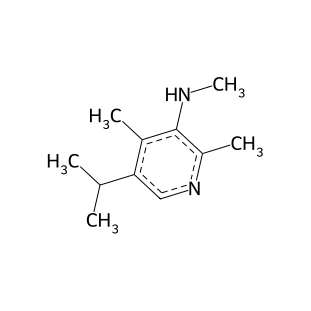 CNc1c(C)ncc(C(C)C)c1C